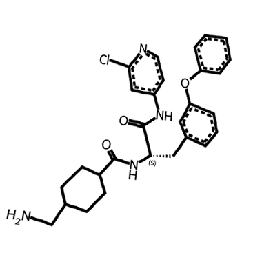 NCC1CCC(C(=O)N[C@@H](Cc2cccc(Oc3ccccc3)c2)C(=O)Nc2ccnc(Cl)c2)CC1